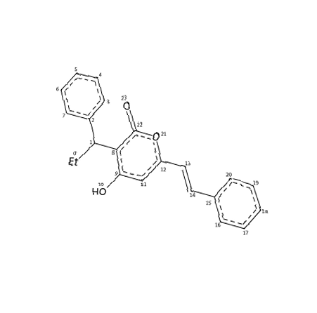 CCC(c1ccccc1)c1c(O)cc(C=Cc2ccccc2)oc1=O